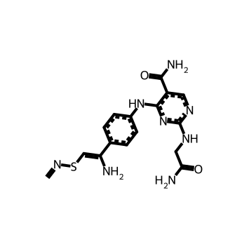 C=NS/C=C(\N)c1ccc(Nc2nc(NCC(N)=O)ncc2C(N)=O)cc1